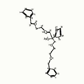 OC(COCCOCc1ccccc1)(COCCOCc1ccccc1)c1nccs1